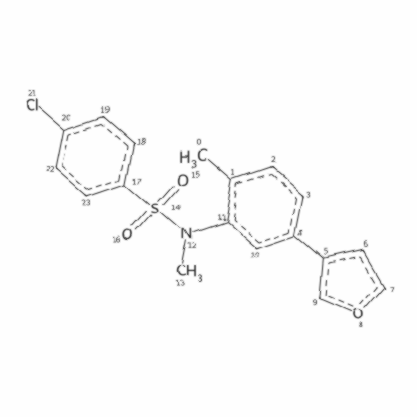 Cc1ccc(-c2ccoc2)cc1N(C)S(=O)(=O)c1ccc(Cl)cc1